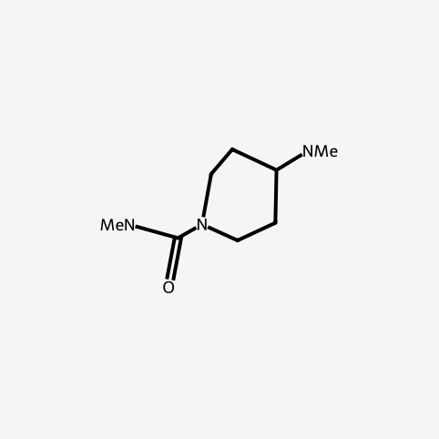 CNC(=O)N1CCC(NC)CC1